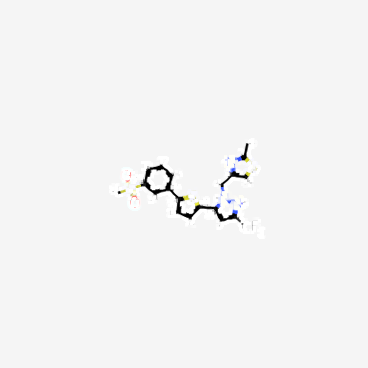 Cc1nc(Cn2nc(C(F)(F)F)cc2-c2ccc(-c3cccc(S(C)(=O)=O)c3)s2)cs1